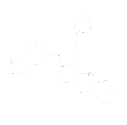 O=C(O)c1cc2cc(Cl)ccc2nc1N(CCc1cccs1)C(=O)NC(Cc1cccs1)C(=O)O